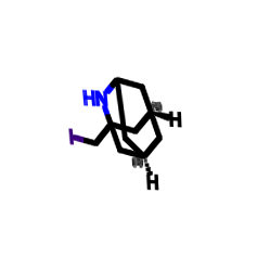 ICC12C[C@@H]3CC(C[C@@H](C3)C1)N2